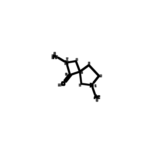 CC(=O)N1CCC2(C1)CN(C(C)C)C2=O